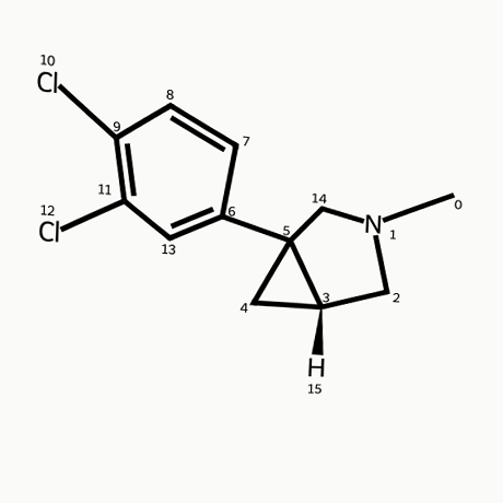 CN1C[C@@H]2CC2(c2ccc(Cl)c(Cl)c2)C1